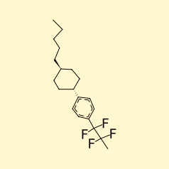 CCCCC[C@H]1CC[C@H](c2ccc(C(F)(F)C(C)(F)F)cc2)CC1